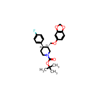 CC(C)(C)OC(=O)N1CC[C@@H](c2ccc(F)cc2)[C@H](COc2ccc3c(c2)OCO3)C1